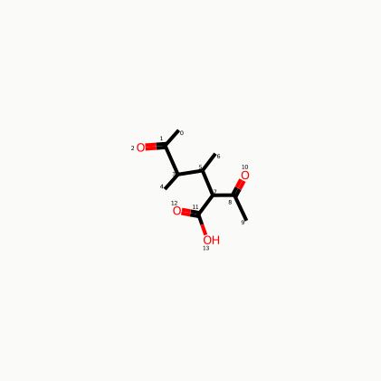 CC(=O)C(C)C(C)C(C(C)=O)C(=O)O